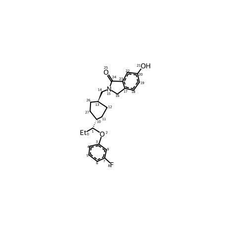 CCC(Oc1cccc(F)c1)[C@H]1CC[C@H](CN2Cc3ccc(O)cc3C2=O)CC1